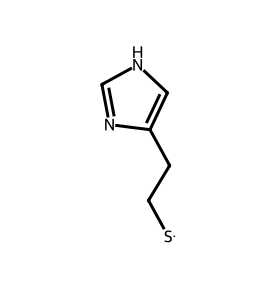 [S]CCc1c[nH]cn1